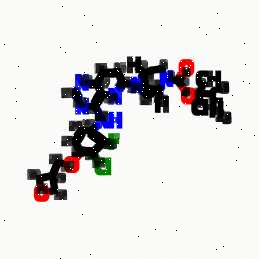 CC(C)(C)OC(=O)N1C[C@@H]2C[C@H]1CN2c1ccc2ncnc(Nc3ccc(OCC4COC4)c(Cl)c3F)c2n1